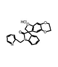 Cl.O=C1N(Cc2ccccn2)c2ccccc2C12COc1cc3c(cc12)OCCO3